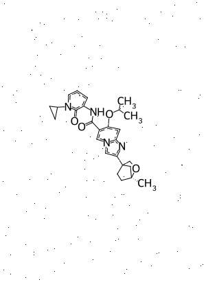 CC(C)Oc1cc2nc(C34CC[C@@](C)(C3)OC4)cn2cc1C(=O)Nc1cccn(C2CC2)c1=O